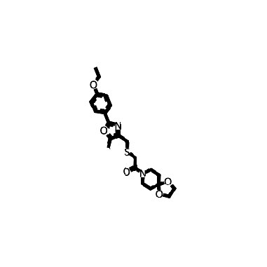 CCOc1ccc(-c2nc(CSCC(=O)N3CCC4(CC3)OCCO4)c(C)o2)cc1